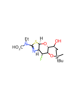 CCN(C(=O)O)C1=N[C@@H]2[C@H](F)[C@H](O[Si](C)(C)C(C)(C)C)[C@@H]([C@H](C)O)O[C@@H]2S1